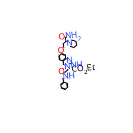 CCOC(=O)NC1=Nc2cc(OCCC(C(N)=O)N3CCCCC3)ccc2CN1CC(=O)NCc1ccccc1